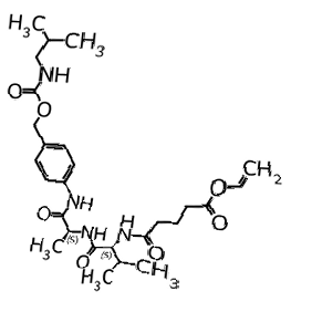 C=COC(=O)CCCC(=O)N[C@H](C(=O)N[C@@H](C)C(=O)Nc1ccc(COC(=O)NCC(C)C)cc1)C(C)C